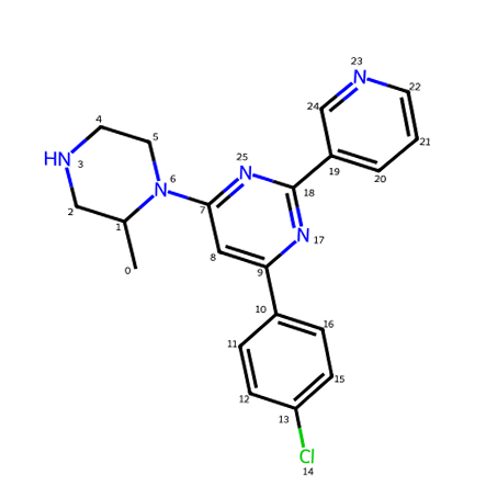 CC1CNCCN1c1cc(-c2ccc(Cl)cc2)nc(-c2cccnc2)n1